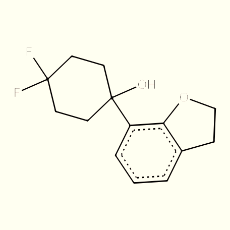 OC1(c2cccc3c2OCC3)CCC(F)(F)CC1